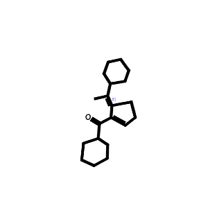 C/C(=C1/CCC=C1C(=O)C1CCCCC1)C1CCCCC1